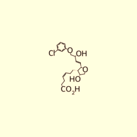 O=C(O)CC/C=C\CC[C@H]1[C@@H](O)CO[C@@H]1/C=C/C(O)COc1cccc(Cl)c1